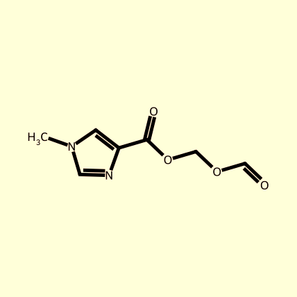 Cn1cnc(C(=O)OCOC=O)c1